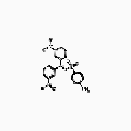 Cc1ccc(S(=O)(=O)O[I+](c2cccc([N+](=O)[O-])c2)c2cccc([N+](=O)[O-])c2)cc1